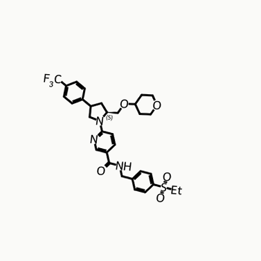 CCS(=O)(=O)c1ccc(CNC(=O)c2ccc(N3CC(c4ccc(C(F)(F)F)cc4)C[C@H]3COC3CCOCC3)nc2)cc1